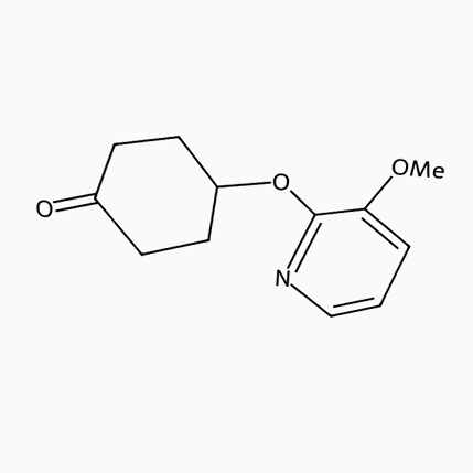 COc1cccnc1OC1CCC(=O)CC1